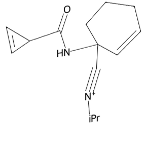 CC(C)[N+]#CC1(NC(=O)C2C=C2)C=CCCC1